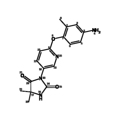 Cc1cc(N)ccc1Oc1ccc(N2C(=O)NC(C)(C)C2=O)cn1